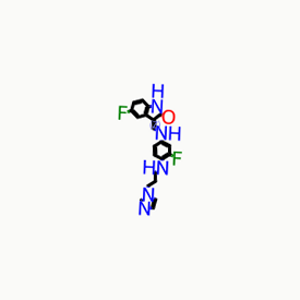 O=C1Nc2ccc(F)cc2/C1=C/Nc1ccc(NCCCn2ccnc2)c(F)c1